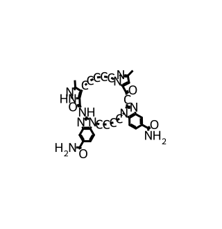 Cc1cc2n(n1)CCCCCc1c(C)n[nH]c1C(=O)Nc1nc3cc(C(N)=O)ccc3n1CCCCn1c(nc3cc(C(N)=O)ccc31)CC2=O